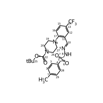 Cc1ccc(S(=O)(=O)N/N=C/c2cc(C(F)(F)F)ccc2N2CCN(C(=O)OC(C)(C)C)CC2)cc1